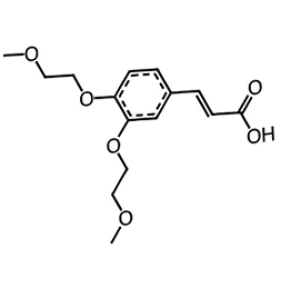 COCCOc1ccc(C=CC(=O)O)cc1OCCOC